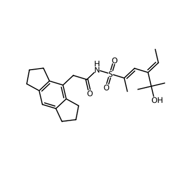 C/C=C(\C=C(/C)S(=O)(=O)NC(=O)Cc1c2c(cc3c1CCC3)CCC2)C(C)(C)O